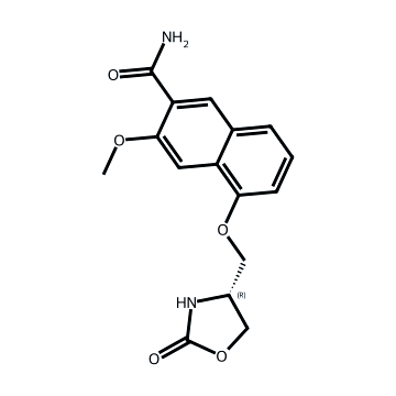 COc1cc2c(OC[C@@H]3COC(=O)N3)cccc2cc1C(N)=O